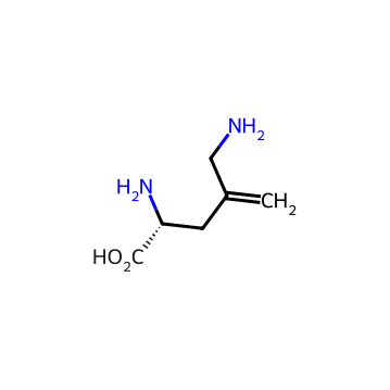 C=C(CN)C[C@@H](N)C(=O)O